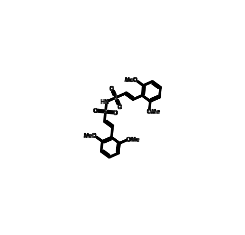 COc1cccc(OC)c1C=CS(=O)(=O)NS(=O)(=O)C=Cc1c(OC)cccc1OC